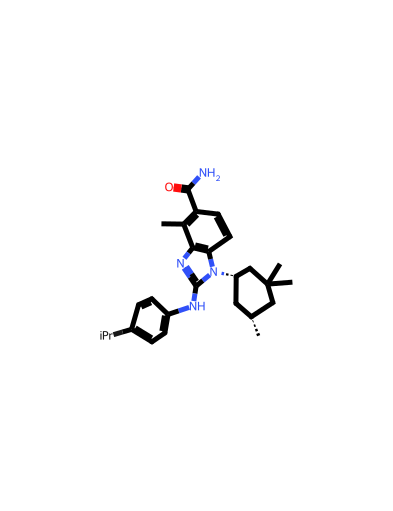 Cc1c(C(N)=O)ccc2c1nc(Nc1ccc(C(C)C)cc1)n2[C@H]1C[C@@H](C)CC(C)(C)C1